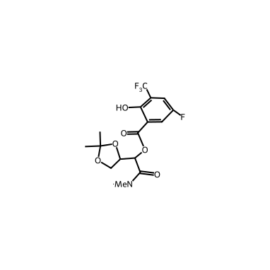 C[N]C(=O)C(OC(=O)c1cc(F)cc(C(F)(F)F)c1O)C1COC(C)(C)O1